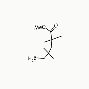 BCC(C)(C)CC(C)(C)C(=O)OC